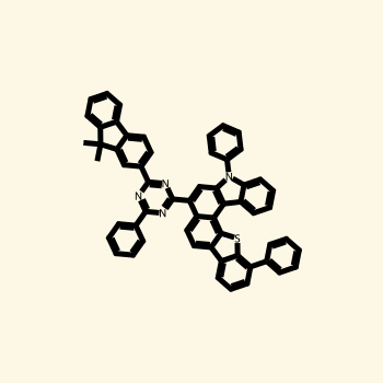 CC1(C)c2ccccc2-c2ccc(-c3nc(-c4ccccc4)nc(-c4cc5c(c6ccccc6n5-c5ccccc5)c5c4ccc4c6cccc(-c7ccccc7)c6sc45)n3)cc21